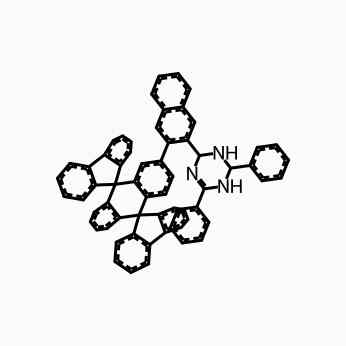 c1ccc(C2=NC(c3cc4ccccc4cc3-c3ccc4c(c3)C3(c5ccccc5-c5ccccc53)c3ccccc3C43c4ccccc4-c4ccccc43)NC(c3ccccc3)N2)cc1